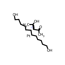 CC(=O)/C=C(/C)O.OCCCCCCCCCCCCO.[Pt]